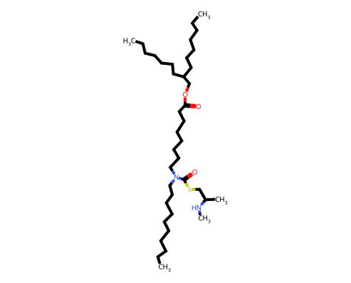 CCCCCCCCCCN(CCCCCCCC(=O)OCC(CCCCCCC)CCCCCCC)C(=O)SCC(C)NC